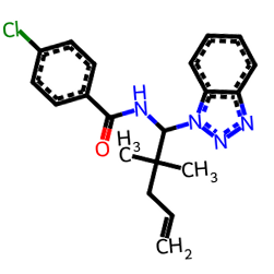 C=CCC(C)(C)C(NC(=O)c1ccc(Cl)cc1)n1nnc2ccccc21